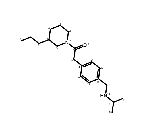 CCCC1CCCN(C(=O)Cc2ccc(CNC(C)C)cc2)C1